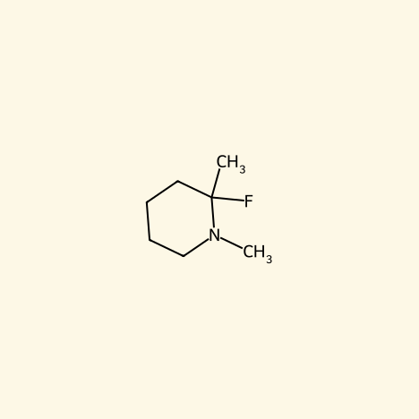 CN1CCCCC1(C)F